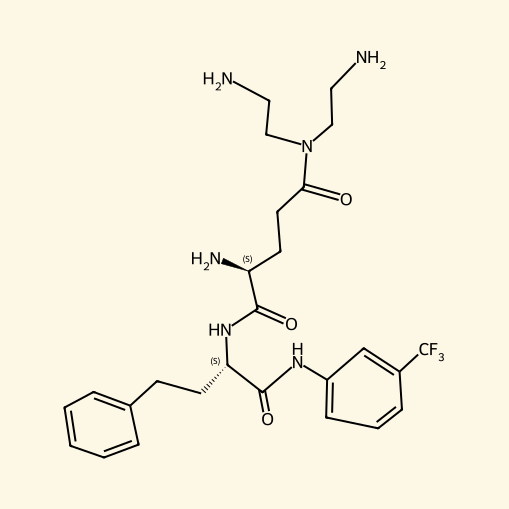 NCCN(CCN)C(=O)CC[C@H](N)C(=O)N[C@@H](CCc1ccccc1)C(=O)Nc1cccc(C(F)(F)F)c1